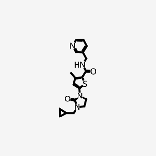 Cc1cc(N2CCN(CC3CC3)C2=O)sc1C(=O)NCc1cccnc1